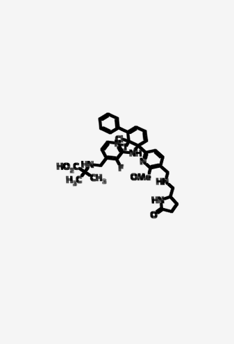 COc1nc([C@@]2(Nc3nccc(CNC(C)(C)C(=O)O)c3F)C=CC=C(c3ccccc3)C2(Cl)Cl)ccc1CNCC1CCC(=O)N1